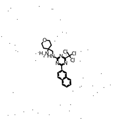 NC1(CNc2nc(-c3ccc4ccccc4c3)nc(C(Cl)(Cl)Cl)n2)CCOCC1